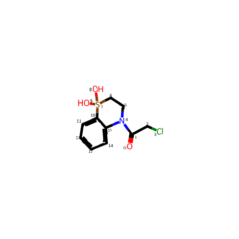 O=C(CCl)N1CCS(O)(O)c2ccccc21